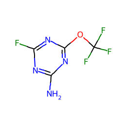 Nc1nc(F)nc(OC(F)(F)F)n1